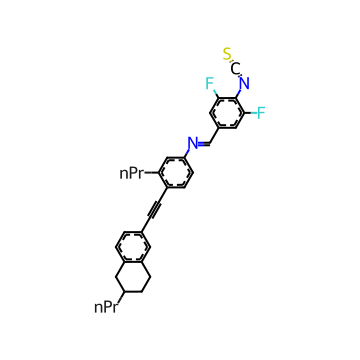 CCCc1cc(N=Cc2cc(F)c(N=C=S)c(F)c2)ccc1C#Cc1ccc2c(c1)CCC(CCC)C2